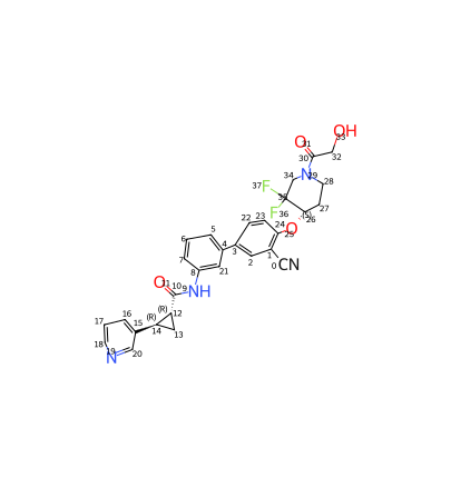 N#Cc1cc(-c2cccc(NC(=O)[C@@H]3C[C@H]3c3cccnc3)c2)ccc1O[C@H]1CCN(C(=O)CO)CC1(F)F